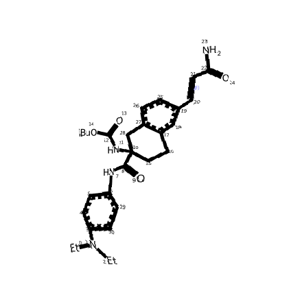 CCN(CC)c1ccc(NC(=O)C2(NC(=O)OCC(C)C)CCc3cc(/C=C/C(N)=O)ccc3C2)cc1